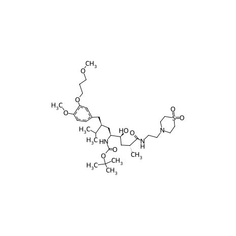 COCCCOc1cc(C[C@@H](C[C@H](NC(=O)OC(C)(C)C)[C@@H](O)C[C@@H](C)C(=O)NCCN2CCS(=O)(=O)CC2)C(C)C)ccc1OC